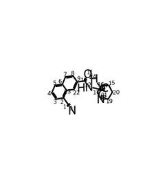 N#Cc1cccc2ccc(C(=O)N[C@@H]3CC4CCN(CC4)C3)cc12